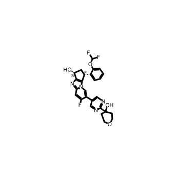 O[C@@H]1C[C@H](c2ccccc2OC(F)F)c2c1nc1cc(F)c(-c3cnc(C4(O)CCOCC4)nc3)cn21